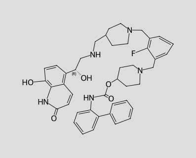 O=C(Nc1ccccc1-c1ccccc1)OC1CCN(Cc2cccc(CN3CCC(CNC[C@H](O)c4ccc(O)c5[nH]c(=O)ccc45)CC3)c2F)CC1